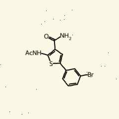 CC(=O)Nc1sc(-c2cccc(Br)c2)cc1C(N)=O